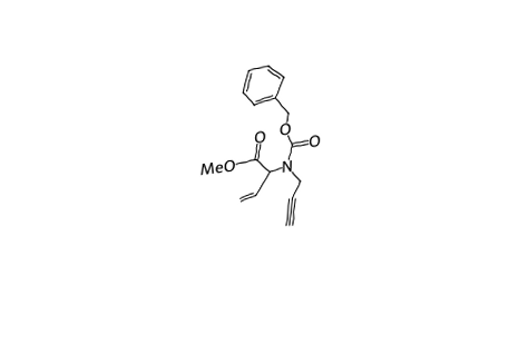 C#CCN(C(=O)OCc1ccccc1)C(C=C)C(=O)OC